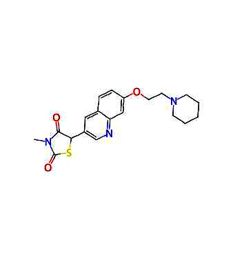 CN1C(=O)SC(c2cnc3cc(OCCN4CCCCC4)ccc3c2)C1=O